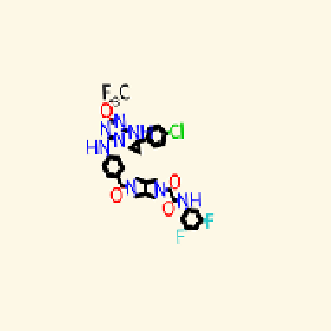 O=C(Nc1cc(F)cc(F)c1)C(=O)N1CC2CN(C(=O)c3ccc(Nc4nc(NC5(c6ccc(Cl)cc6)CC5)nc(OCC(F)(F)F)n4)cc3)CC2C1